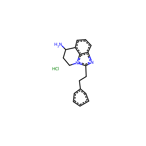 Cl.NC1CCn2c(CCc3ccccc3)nc3cccc1c32